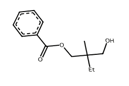 CCC(C)(CO)COC(=O)c1ccccc1